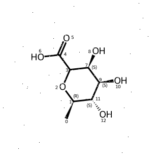 C[C@H]1OC(C(=O)O)[C@@H](O)[C@@H](O)[C@@H]1O